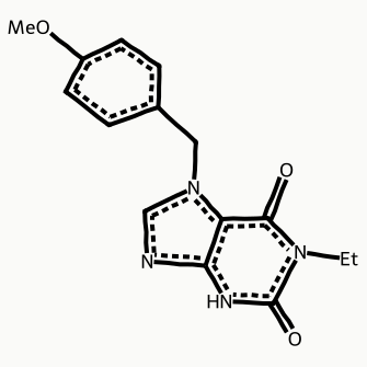 CCn1c(=O)[nH]c2ncn(Cc3ccc(OC)cc3)c2c1=O